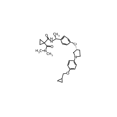 C[C@H](NC(=O)C1(C(=O)N(C)C)CC1)c1ccc(O[C@@H]2CCN(c3ccc(OCC4CC4)cc3)C2)cc1